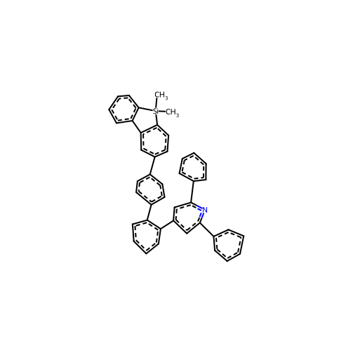 C[Si]1(C)c2ccccc2-c2cc(-c3ccc(-c4ccccc4-c4cc(-c5ccccc5)nc(-c5ccccc5)c4)cc3)ccc21